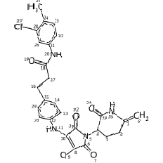 C=C1CCC(N2C(=O)C(Cl)=C(Nc3ccc(CCC(=O)Nc4ccc(C)c(Cl)c4)cc3)C2=O)C(=O)N1